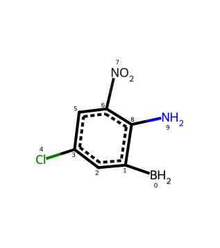 Bc1cc(Cl)cc([N+](=O)[O-])c1N